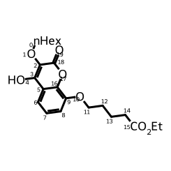 CCCCCCOc1c(O)c2cccc(OCCCCC(=O)OCC)c2oc1=O